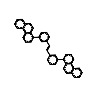 C(=Cc1cccc(-c2cccc3c2ccc2ccccc23)c1)c1cccc(-c2cccc3c2ccc2ccccc23)c1